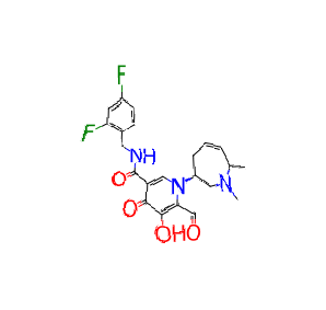 CC1C=CC[C@H](n2cc(C(=O)NCc3ccc(F)cc3F)c(=O)c(O)c2C=O)CN1C